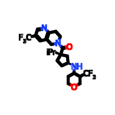 CC(C)[C@]1(C(=O)N2CCc3ncc(C(F)(F)F)cc3C2)CC[C@@H](NC2CCOCC2C(F)(F)F)C1